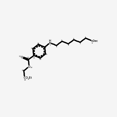 CCCCCCCCCCCCCCCCNc1ccc(C(=O)OCC(=O)OCC)cc1